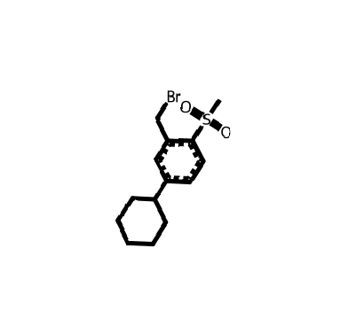 CS(=O)(=O)c1ccc(C2CCCCC2)cc1CBr